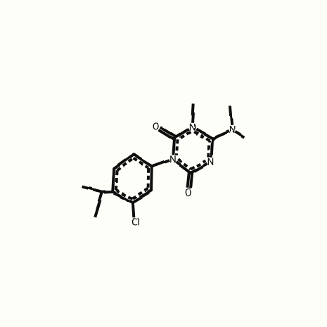 CC(C)c1ccc(-n2c(=O)nc(N(C)C)n(C)c2=O)cc1Cl